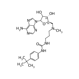 CN(CCCNC(=O)Nc1ccc(C(C)(C)C)cc1)C[C@H]1OC(n2cnc3c(N)ncnc32)C(O)[C@@H]1O